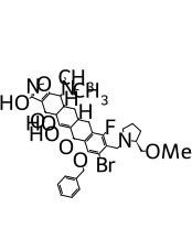 COC[C@@H]1CCCN1Cc1c(F)c2c(c(OCc3ccccc3)c1Br)C(=O)C1=C(O)[C@]3(O)C(=O)c4c(O)noc4[C@@H](N(C)C)[C@@H]3C[C@@H]1C2